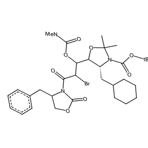 CNC(=O)OC(C(Br)C(=O)N1C(=O)OCC1Cc1ccccc1)C1OC(C)(C)N(C(=O)OC(C)(C)C)[C@@H]1CC1CCCCC1